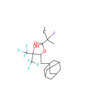 CCC(C)(I)C(=O)OC(CC12CC3CC(CC(C3)C1)C2)C(O)(C(F)(F)F)C(F)(F)F